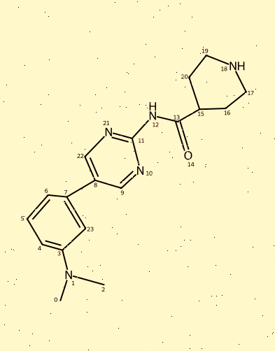 CN(C)c1cccc(-c2cnc(NC(=O)C3CCNCC3)nc2)c1